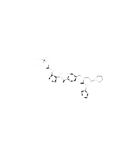 CC(C)(C)OC(=O)Nc1cscc1NC(=O)c1ccc(CN(CCN2CCCC2)C(=O)Nc2ccsc2)cn1